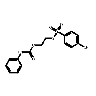 Cc1ccc(S(=O)(=O)SCCOC(=O)Nc2ccccc2)cc1